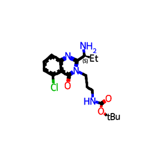 CC[C@H](N)c1nc2cccc(Cl)c2c(=O)n1CCCNC(=O)OC(C)(C)C